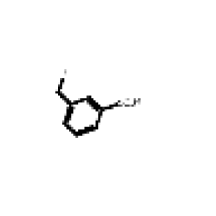 O=C(O)c1cccc(CI)c1